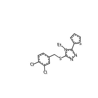 CCn1c(SCc2ccc(Cl)c(Cl)c2)nnc1-c1cccs1